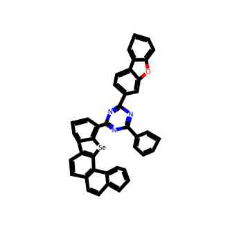 c1ccc(-c2nc(-c3ccc4c(c3)oc3ccccc34)nc(-c3cccc4c3[se]c3c4ccc4ccc5ccccc5c43)n2)cc1